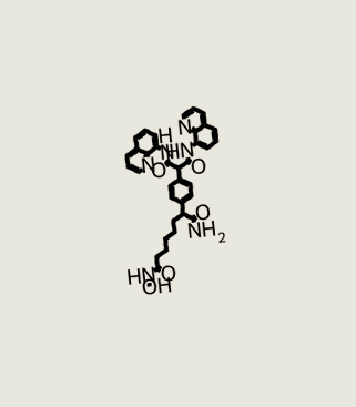 NC(=O)C(CCCCCC(=O)NO)c1ccc(C(C(=O)Nc2cccc3cccnc23)C(=O)Nc2cccc3cccnc23)cc1